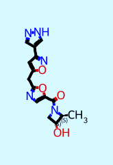 C[C@H]1[C@@H](O)CN1C(=O)c1cnc(Cc2cc(-c3cn[nH]c3)no2)o1